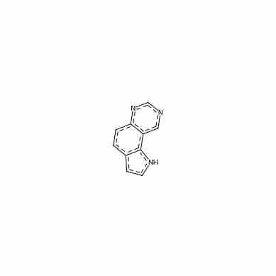 [c]1ncc2c(ccc3cc[nH]c32)n1